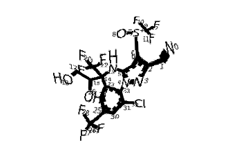 N#Cc1nn2c(c1[S+]([O-])C(F)(F)F)NC(C(O)CO)(C(F)(F)F)c1cc(C(F)(F)F)cc(Cl)c1-2